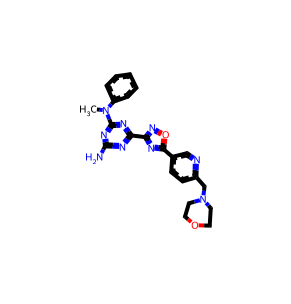 CN(c1ccccc1)c1nc(N)nc(-c2noc(-c3ccc(CN4CCOCC4)nc3)n2)n1